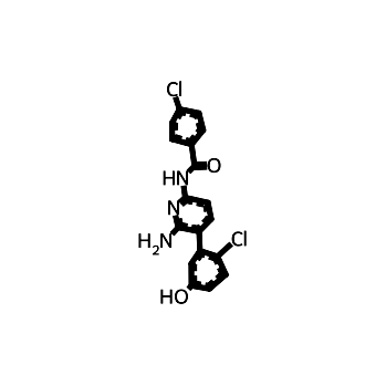 Nc1nc(NC(=O)c2ccc(Cl)cc2)ccc1-c1cc(O)ccc1Cl